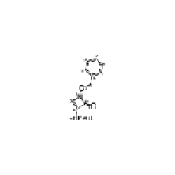 CCCCCC1=CN(OCc2ccccc2)C1=O